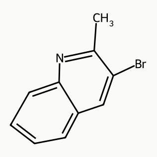 Cc1nc2ccccc2cc1Br